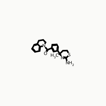 CC1(c2cccc(C(=O)N3CCCc4ccccc43)c2)CCSC(N)=N1